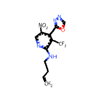 C=CCCNc1ncc([N+](=O)[O-])c(-c2nnco2)c1C(F)(F)F